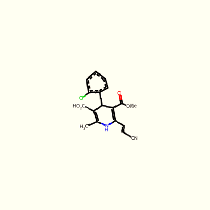 COC(=O)C1=C(C=CC#N)NC(C)=C(C(=O)O)C1c1ccccc1Cl